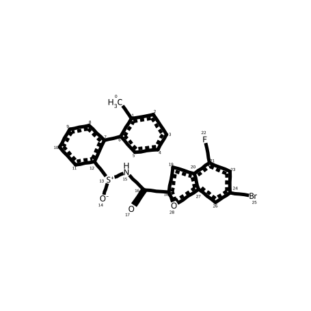 Cc1ccccc1-c1ccccc1[S+]([O-])NC(=O)c1cc2c(F)cc(Br)cc2o1